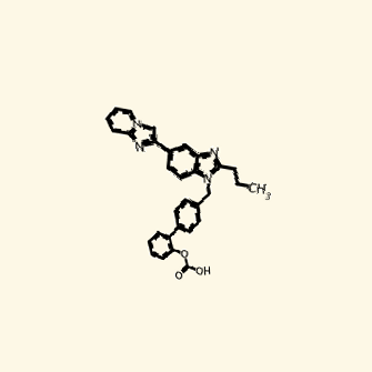 CCCc1nc2cc(-c3cn4ccccc4n3)ccc2n1Cc1ccc(-c2ccccc2OC(=O)O)cc1